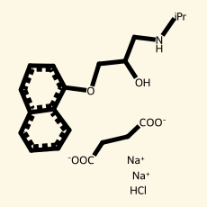 CC(C)NCC(O)COc1cccc2ccccc12.Cl.O=C([O-])CCC(=O)[O-].[Na+].[Na+]